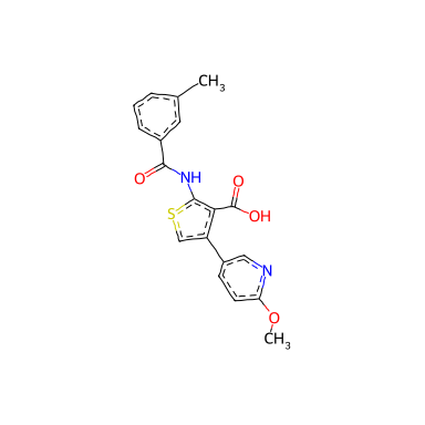 COc1ccc(-c2csc(NC(=O)c3cccc(C)c3)c2C(=O)O)cn1